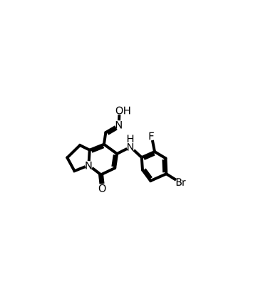 O=c1cc(Nc2ccc(Br)cc2F)c(/C=N/O)c2n1CCC2